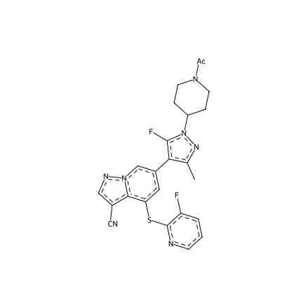 CC(=O)N1CCC(n2nc(C)c(-c3cc(Sc4ncccc4F)c4c(C#N)cnn4c3)c2F)CC1